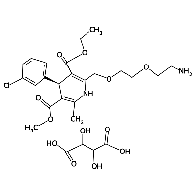 CCOC(=O)C1=C(COCCOCCN)NC(C)=C(C(=O)OC)[C@H]1c1cccc(Cl)c1.O=C(O)C(O)C(O)C(=O)O